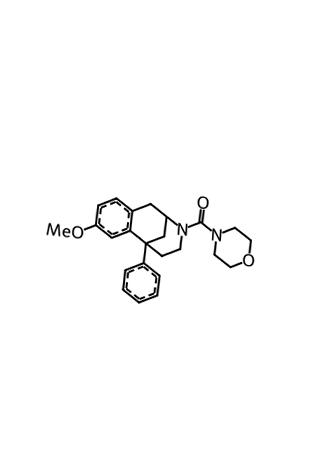 COc1ccc2c(c1)C1(c3ccccc3)CCN(C(=O)N3CCOCC3)C(C2)C1